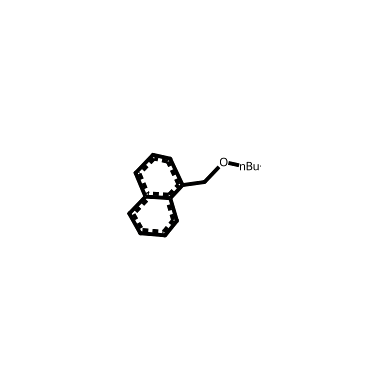 CCC[CH]OCc1cccc2ccccc12